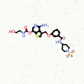 CS(=O)(=O)N1CCC(NC(=O)c2cccc(OCc3csc4c(OC(=O)NCCO)cnc(N)c34)c2)CC1